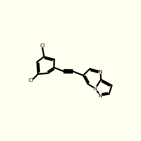 Clc1cc(Cl)cc(C#Cc2cnc3ccnn3c2)c1